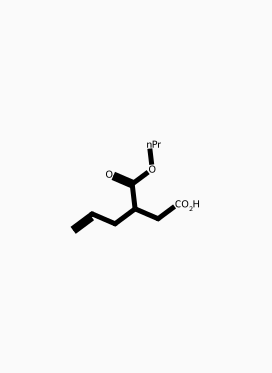 C=CCC(CC(=O)O)C(=O)OCCC